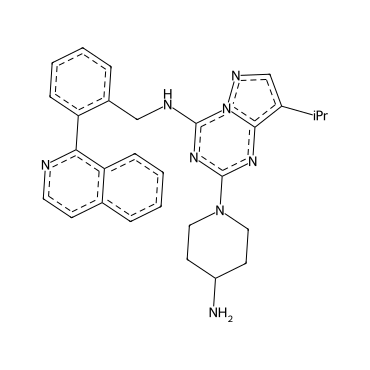 CC(C)c1cnn2c(NCc3ccccc3-c3nccc4ccccc34)nc(N3CCC(N)CC3)nc12